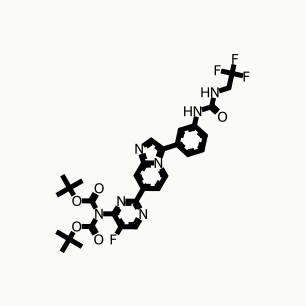 CC(C)(C)OC(=O)N(C(=O)OC(C)(C)C)c1nc(-c2ccn3c(-c4cccc(NC(=O)NCC(F)(F)F)c4)cnc3c2)ncc1F